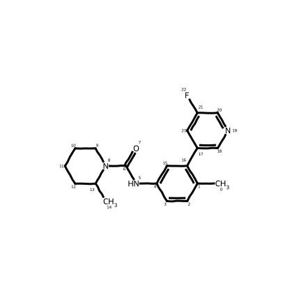 Cc1ccc(NC(=O)N2CCCCC2C)cc1-c1cncc(F)c1